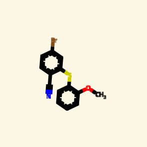 COc1ccccc1Sc1cc(Br)ccc1C#N